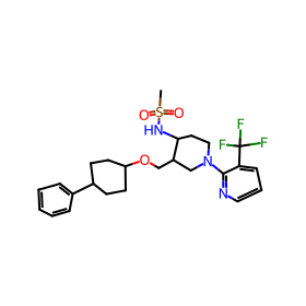 CS(=O)(=O)NC1CCN(c2ncccc2C(F)(F)F)CC1COC1CCC(c2ccccc2)CC1